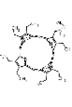 CCC1=C(CC)c2cc3[nH]c(cc4nc(cc5[nH]c(cc1n2)c(CC)c5CC)C(CC)=C4CC)c(CC)c3CC.[Al][Cl]